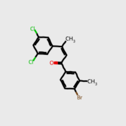 CC(=CC(=O)c1ccc(Br)c(C)c1)c1cc(Cl)cc(Cl)c1